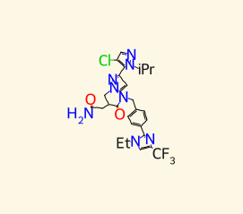 CCn1cc(C(F)(F)F)nc1-c1ccc(CN2C(=O)C(CC(N)=O)Cn3nc(-c4c(Cl)cnn4C(C)C)cc32)cc1